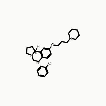 Clc1ccccc1[C@@H]1CN2CCC[C@@H]2c2cc(OCCCN3CCCCC3)ccc21